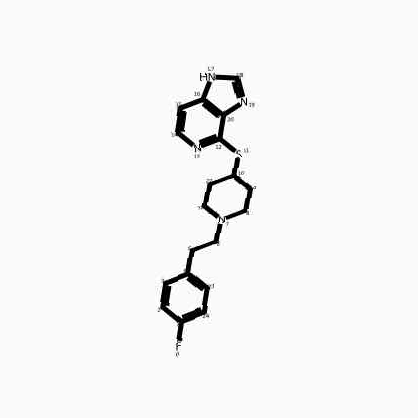 Fc1ccc(CCN2CCC(Sc3nccc4[nH]cnc34)CC2)cc1